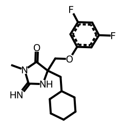 CN1C(=N)NC(COc2cc(F)cc(F)c2)(CC2CCCCC2)C1=O